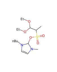 CCCCN1C=CN(C)C1OS(=O)(=O)C(C)C(OCC)OCC